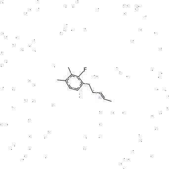 C/C=C/CCc1ccc(C)c(C)c1F